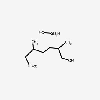 CCCCCCCCCC(C)CCC(C)CO.O=S(=O)(O)O